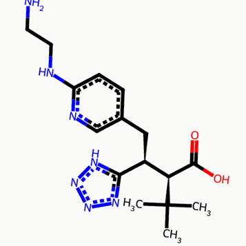 CC(C)(C)[C@H](C(=O)O)[C@H](Cc1ccc(NCCN)nc1)c1nnn[nH]1